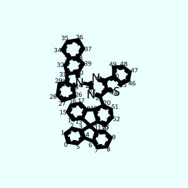 c1ccc2c(c1)-c1ccccc1C21c2ccccc2-c2c(-c3nc(-n4c5ccccc5c5cc6ccccc6cc54)nc4c3sc3ccccc34)cccc21